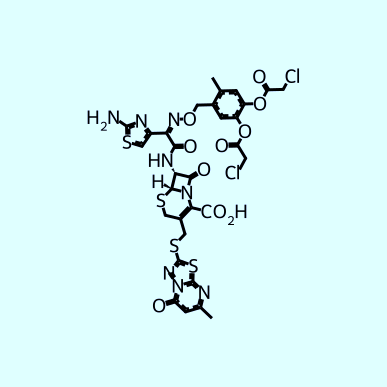 Cc1cc(=O)n2nc(SCC3=C(C(=O)O)N4C(=O)[C@@H](NC(=O)/C(=N\OCc5cc(OC(=O)CCl)c(OC(=O)CCl)cc5C)c5csc(N)n5)[C@H]4SC3)sc2n1